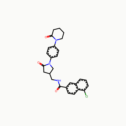 O=C(NCC1CC(=O)N(c2ccc(N3CCCCC3=O)cc2)C1)c1ccc2c(Cl)cccc2c1